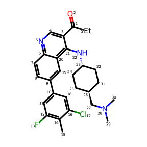 CCC(=O)c1cnc2ccc(-c3cc(F)c(C)c(Cl)c3)cc2c1N[C@H]1CC[C@H](CN(C)C)CC1